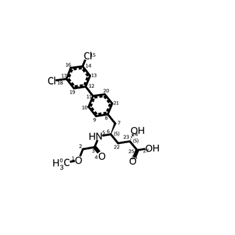 COCC(=O)N[C@@H](Cc1ccc(-c2cc(Cl)cc(Cl)c2)cc1)C[C@H](O)C(=O)O